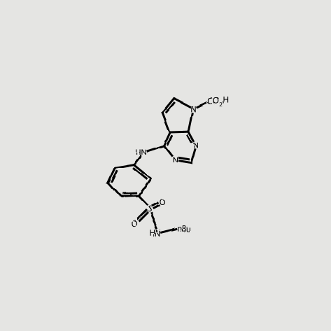 CCCCNS(=O)(=O)c1cccc(Nc2ncnc3c2ccn3C(=O)O)c1